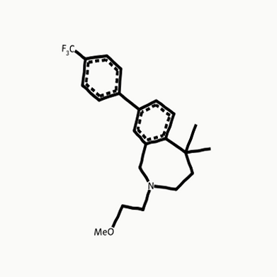 COCCN1CCC(C)(C)c2ccc(-c3ccc(C(F)(F)F)cc3)cc2C1